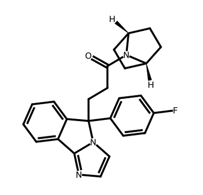 O=C(CCC1(c2ccc(F)cc2)c2ccccc2-c2nccn21)N1[C@H]2CC[C@@H]1CC2